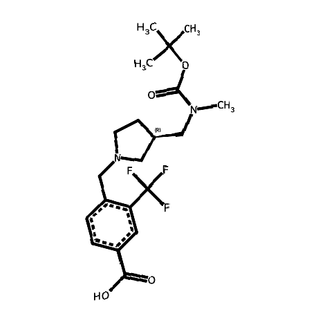 CN(C[C@@H]1CCN(Cc2ccc(C(=O)O)cc2C(F)(F)F)C1)C(=O)OC(C)(C)C